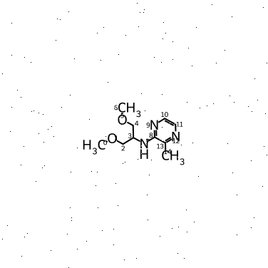 COCC(COC)Nc1nccnc1C